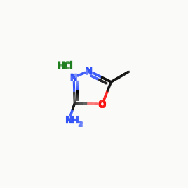 Cc1nnc(N)o1.Cl